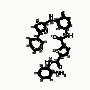 Cc1ccc(NC(=O)c2ccc(C(=O)Nc3ccccc3N)s2)cc1Nc1nc(-c2cccnc2)cs1